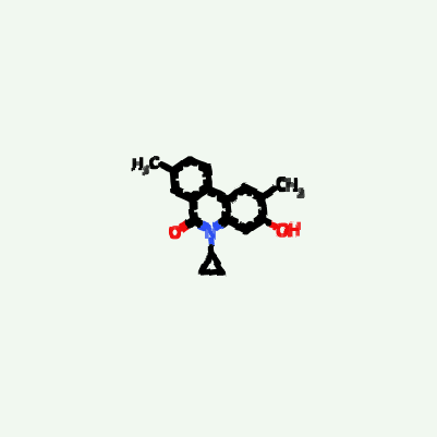 Cc1ccc2c(c1)c(=O)n(C1CC1)c1cc(O)c(C)cc21